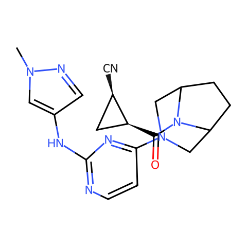 Cn1cc(Nc2nccc(N3CC4CCC(C3)N4C(=O)[C@H]3C[C@H]3C#N)n2)cn1